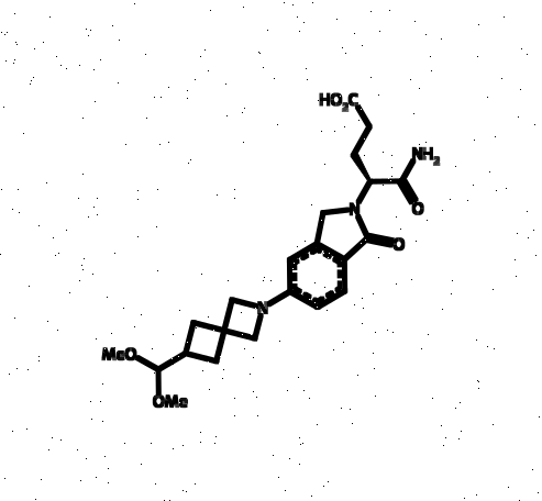 COC(OC)C1CC2(C1)CN(c1ccc3c(c1)CN([C@@H](CCC(=O)O)C(N)=O)C3=O)C2